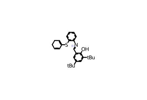 CC(C)(C)c1cc(/C=N/c2ccccc2SC2=CCCC=C2)c(O)c(C(C)(C)C)c1